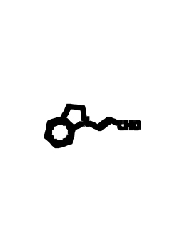 O=CC=CN1CCc2ccccc21